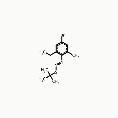 CCc1cc(Br)cc(C)c1/N=N/SC(C)(C)C